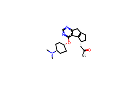 CCC(=O)C[C@H]1CCC2=C1c1c(ncnc1O[C@H]1CC[C@H](N(C)C)CC1)C2